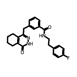 O=C(NCCc1ccc(F)cc1)c1cccc(Cc2n[nH]c(=O)c3c2CCCC3)c1